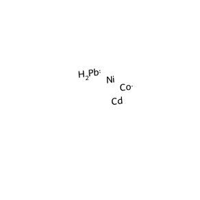 [Cd].[Co].[Ni].[PbH2]